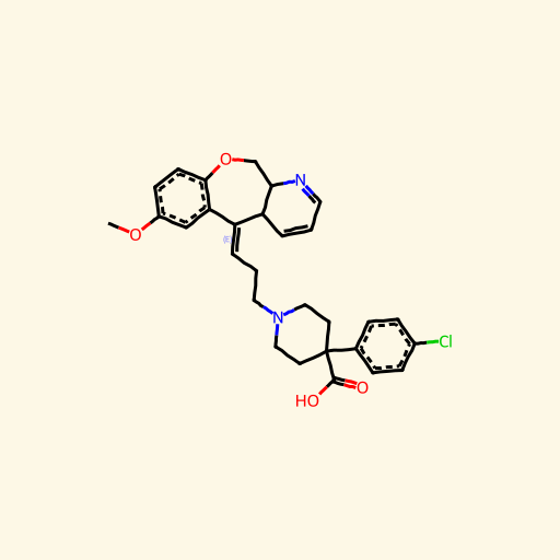 COc1ccc2c(c1)/C(=C/CCN1CCC(C(=O)O)(c3ccc(Cl)cc3)CC1)C1C=CC=NC1CO2